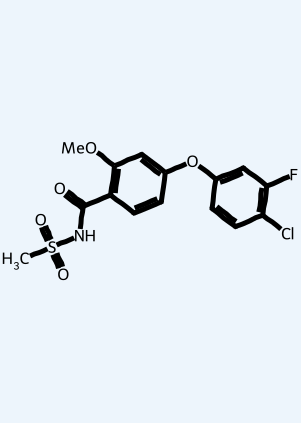 COc1cc(Oc2ccc(Cl)c(F)c2)ccc1C(=O)NS(C)(=O)=O